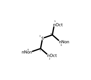 CCCCCCCCCC(CCCCCCCC)SC(CCCCCCCC)CCCCCCCCC